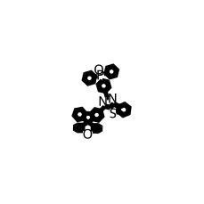 O=P(c1ccccc1)(c1ccccc1)c1ccc(-c2nc(-c3ccc4c(c3)-c3ccccc3C43c4ccccc4Oc4ccccc43)c3sc4ccccc4c3n2)cc1